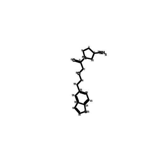 NC1CCN(C(=O)COCCc2ccc3sccc3c2)C1